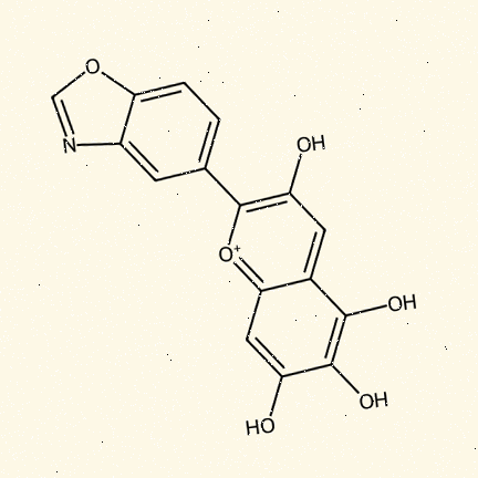 Oc1cc2c(O)c(O)c(O)cc2[o+]c1-c1ccc2ocnc2c1